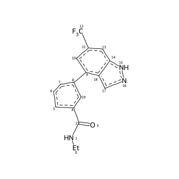 CCNC(=O)c1cccc(-c2cc(C(F)(F)F)cc3[nH]ncc23)c1